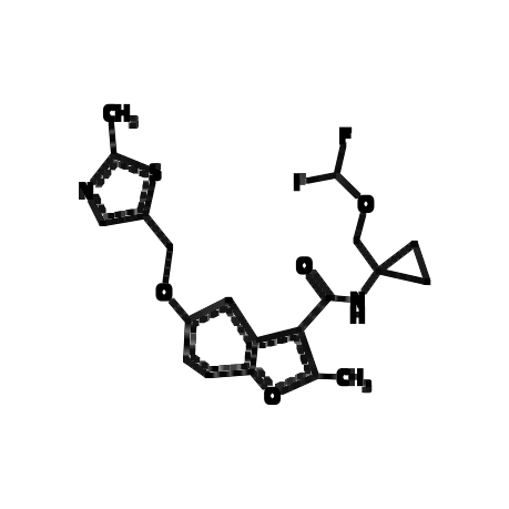 Cc1ncc(COc2ccc3oc(C)c(C(=O)NC4(COC(F)F)CC4)c3c2)s1